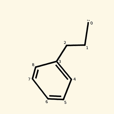 [CH]CCc1ccccc1